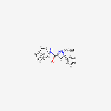 CCCCCN1N=C(C(=O)NC2CCC3CC4CC(C3)C2C4)CC1c1ccccc1